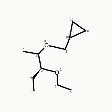 CCO[C@@H](CC)C(C)OCC1CC1